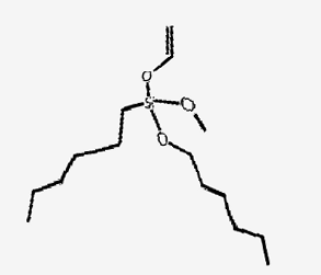 C=CO[Si](CCCCCC)(OC)OCCCCCC